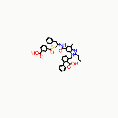 CCCc1nc2c(C)cc(C(=O)N[C@@H](CSC(=O)c3cccc(C(=O)O)c3)Cc3ccccc3)cc2n1Cc1cccc(-c2ccccc2)c1C(=O)O